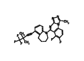 Cc1nnc2nc(N3CCCCc4c(C#CC(C)(C)C(F)(F)F)cccc43)c3c(F)c(F)ccc3n12